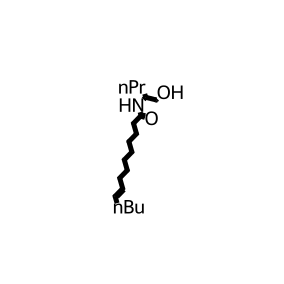 CCCCC=CCCCCCCCC(=O)NC(CO)CCC